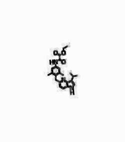 CCOC(=O)C(=O)Nc1cc(C)c(Cc2ccc3[nH]cc(C(C)C)c3n2)c(C)c1